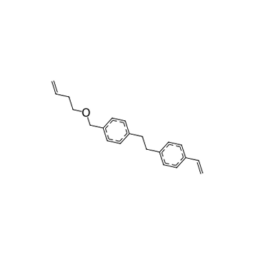 C=CCCOCc1ccc(CCc2ccc(C=C)cc2)cc1